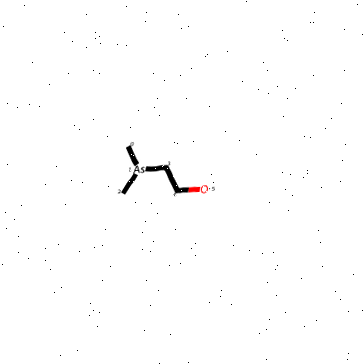 C[As](C)CC[O]